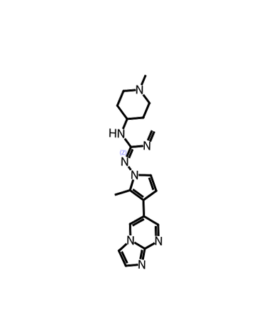 C=N/C(=N\n1ccc(-c2cnc3nccn3c2)c1C)NC1CCN(C)CC1